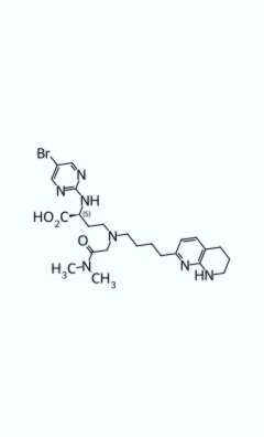 CN(C)C(=O)CN(CCCCc1ccc2c(n1)NCCC2)CC[C@H](Nc1ncc(Br)cn1)C(=O)O